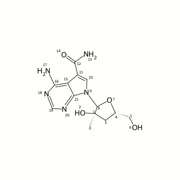 C[C@@]1(O)C[C@@H](CO)OC1n1cc(C(N)=O)c2c(N)ncnc21